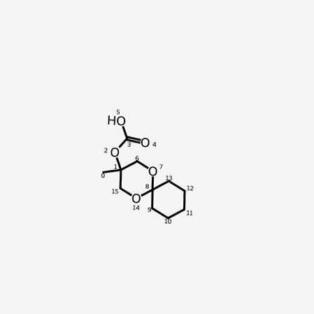 CC1(OC(=O)O)COC2(CCCCC2)OC1